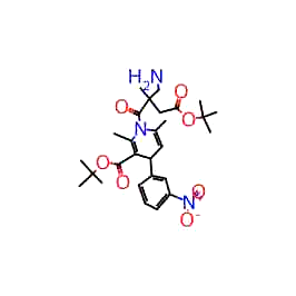 CC1=CC(c2cccc([N+](=O)[O-])c2)C(C(=O)OC(C)(C)C)=C(C)N1C(=O)C(C)(CN)CC(=O)OC(C)(C)C